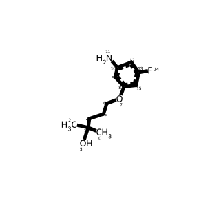 CC(C)(O)CCCOc1cc(N)cc(F)c1